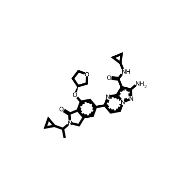 CC(C1CC1)N1Cc2cc(-c3ccn4nc(N)c(C(=O)NC5CC5)c4n3)cc(O[C@H]3CCOC3)c2C1=O